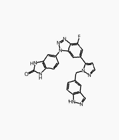 O=c1[nH]c2ccc(-n3nnc4c(F)cc(-c5ccnn5Cc5ccc6[nH]ncc6c5)cc43)cc2[nH]1